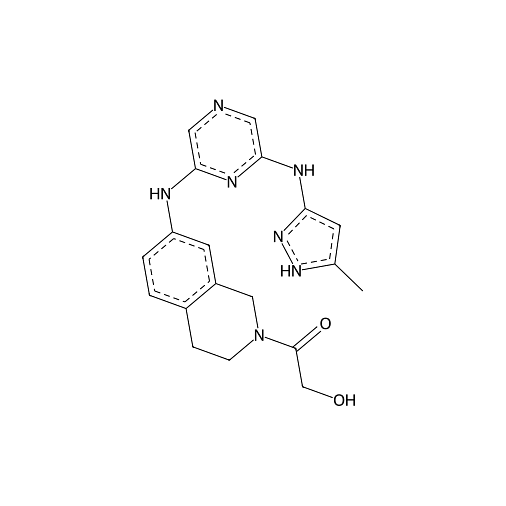 Cc1cc(Nc2cncc(Nc3ccc4c(c3)CN(C(=O)CO)CC4)n2)n[nH]1